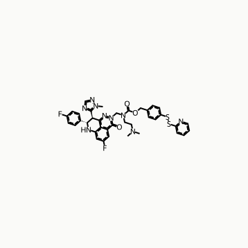 CN(C)CCN(Cn1nc2c3c(cc(F)cc3c1=O)N[C@H](c1ccc(F)cc1)[C@H]2c1ncnn1C)C(=O)OCc1ccc(SSc2ccccn2)cc1